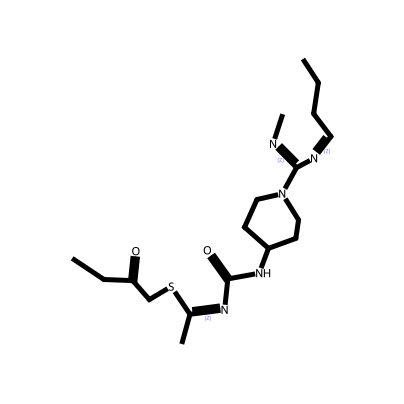 CCC/C=N\C(=N/C)N1CCC(NC(=O)/N=C(/C)SCC(=O)CC)CC1